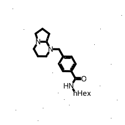 CCCCCCNC(=O)c1ccc(CN2CCCN3CCCC32)cc1